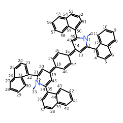 CN1C(c2cccc3ccccc23)=CC(=c2ccc(=C3C=C(c4cccc5ccccc45)N(C)C(c4cccc5ccccc45)=C3)cc2)C=C1c1cccc2ccccc12